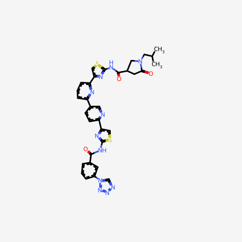 CC(C)CN1CC(C(=O)Nc2nc(-c3cccc(-c4ccc(-c5csc(NC(=O)c6cccc(-n7cnnn7)c6)n5)nc4)n3)cs2)CC1=O